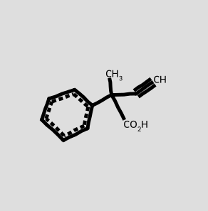 C#CC(C)(C(=O)O)c1ccccc1